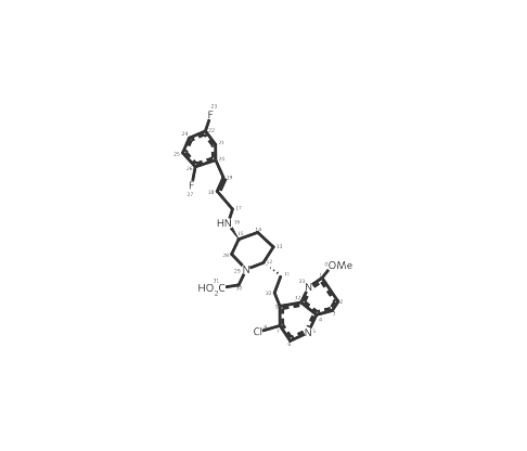 COc1ccc2ncc(Cl)c(CC[C@H]3CC[C@H](NC/C=C/c4cc(F)ccc4F)CN3CC(=O)O)c2n1